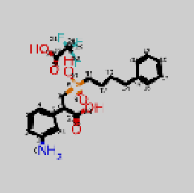 Nc1cccc(C(CP(=O)(O)CCCCc2ccccc2)C(=O)O)c1.O=C(O)C(F)(F)F